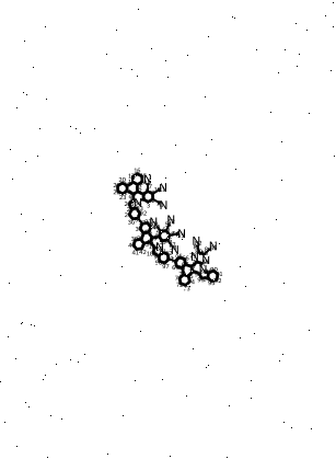 N#Cc1cc2c(c(C#N)c1C#N)c1c3ccccc3c3ccccc3c1c1cc3ccc(-c4ccc5c(c4)c4ccccc4c4c5c5c(C#N)c(C#N)c(C#N)c(C#N)c5n5c6cc(-c7ccc8c(c7)c7ccccc7c7c8c8nc(C#N)c(C#N)nc8n8c9ccccc9cc78)ccc6cc45)cc3n21